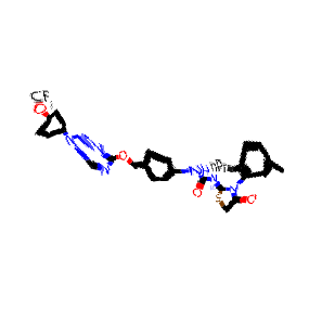 CCCc1ccc(C)cc1N1C(=O)CS/C1=N\C(=O)Nc1ccc(COc2ncn(-c3ccc(OC(F)(F)F)cc3)n2)cc1